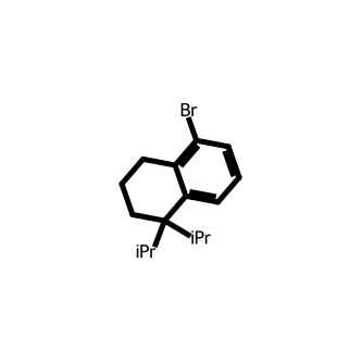 CC(C)C1(C(C)C)CCCc2c(Br)cccc21